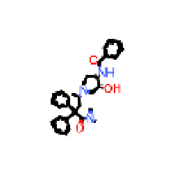 CC(CC(C(=O)N(C)C)(c1ccccc1)c1ccccc1)N1CC[C@H](NC(=O)c2ccccc2)[C@@H](O)C1